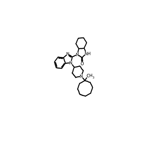 CC1(N2CCC(n3c(N4C(=O)NC5CCCCC54)nc4ccccc43)CC2)CCCCCCC1